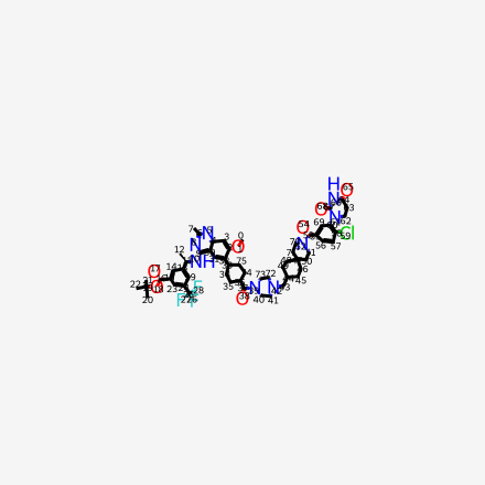 COc1cc2nc(C)nc(N[C@H](C)c3cc(C(=O)OC(C)(C)C)cc(C(F)(F)F)c3)c2cc1C1CCC(C(=O)N2CCN(CC3CCC4(CC3)CCN(C(=O)c3ccc(Cl)c(N5CCC(=O)NC5=O)c3)CC4)CC2)CC1